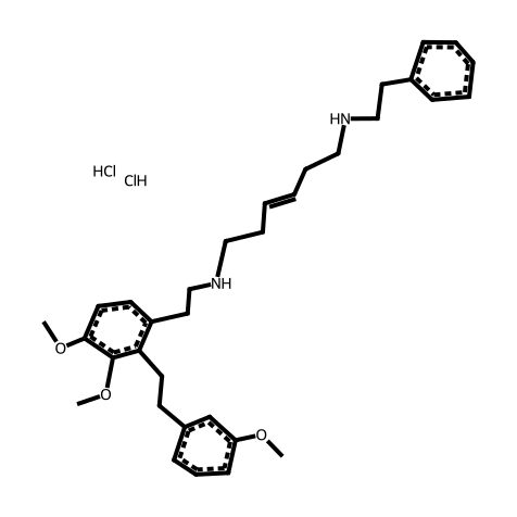 COc1cccc(CCc2c(CCNCCC=CCCNCCc3ccccc3)ccc(OC)c2OC)c1.Cl.Cl